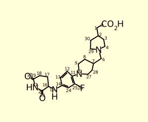 O=C(O)CC1CCN(CC2CCN(c3ccc(NC4CCC(=O)NC4=O)cc3F)CC2)CC1